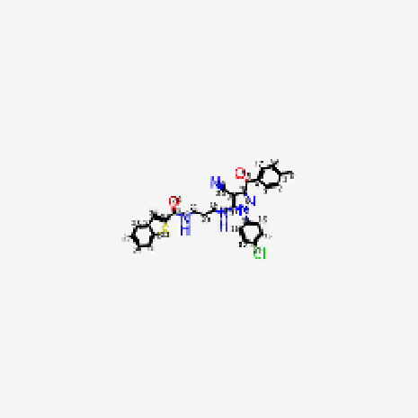 Cc1ccc(C(=O)c2nn(-c3ccc(Cl)cc3)c(NCCCNC(=O)c3cc4ccccc4s3)c2C#N)cc1